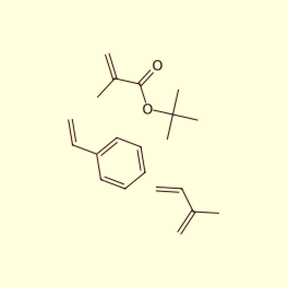 C=C(C)C(=O)OC(C)(C)C.C=CC(=C)C.C=Cc1ccccc1